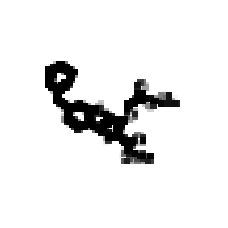 COC(=O)c1sc2c(sc3cc(Cc4ccccc4)ccc32)c1OCC(=O)OC(C)(C)C